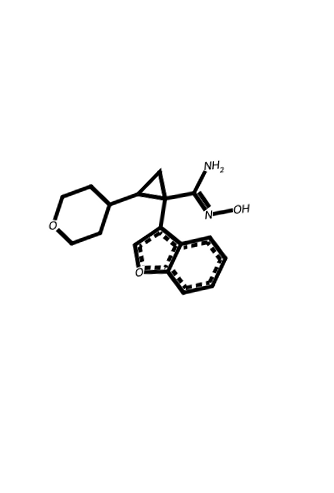 NC(=NO)C1(c2coc3ccccc23)CC1C1CCOCC1